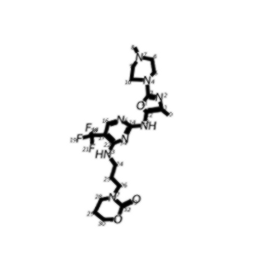 Cc1nc(N2CCN(C)CC2)oc1Nc1ncc(C(F)(F)F)c(NCCCN2CCCOC2=O)n1